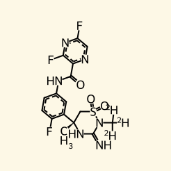 [2H]C([2H])([2H])N1C(=N)N[C@](C)(c2cc(NC(=O)c3ncc(F)nc3F)ccc2F)CS1(=O)=O